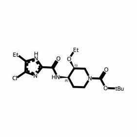 CCO[C@H]1CN(C(=O)OC(C)(C)C)CC[C@H]1NC(=O)c1nc(Cl)c(CC)[nH]1